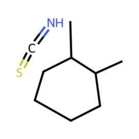 CC1CCCCC1C.N=C=S